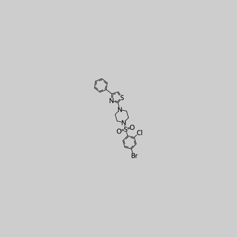 O=S(=O)(c1ccc(Br)cc1Cl)N1CCN(c2nc(-c3ccccc3)cs2)CC1